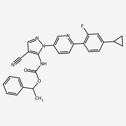 CC(OC(=O)Nc1c(C#N)cnn1-c1ccc(-c2ccc(C3CC3)cc2F)nc1)c1ccccc1